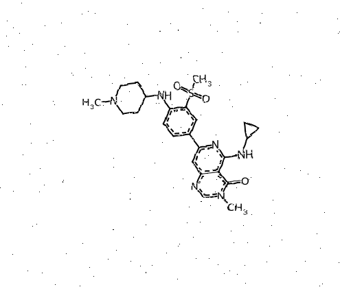 CN1CCC(Nc2ccc(-c3cc4ncn(C)c(=O)c4c(NC4CC4)n3)cc2S(C)(=O)=O)CC1